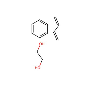 C=CC=C.OCCO.c1ccccc1